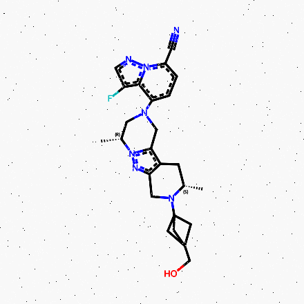 C[C@@H]1CN(c2ccc(C#N)n3ncc(F)c23)Cc2c3c(nn21)CN(C12CC(CO)(C1)C2)[C@@H](C)C3